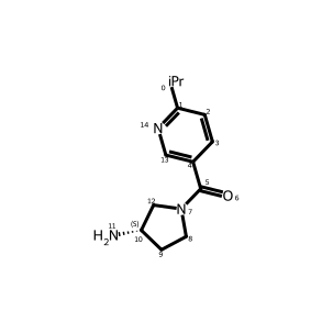 CC(C)c1ccc(C(=O)N2CC[C@H](N)C2)cn1